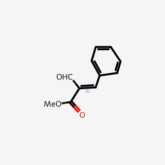 COC(=O)/C(C=O)=C/c1ccccc1